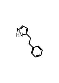 [c]1cn[nH]c1CCc1ccccc1